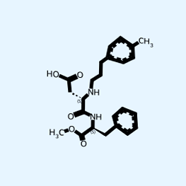 COC(=O)[C@H](Cc1ccccc1)NC(=O)[C@H](CC(=O)O)NCCCc1ccc(C)cc1